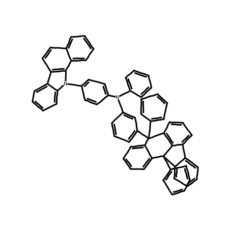 c1ccc(N(c2ccc(-n3c4ccccc4c4ccc5ccccc5c43)cc2)c2cccc(C3(c4ccccc4)c4ccccc4C4(c5ccccc5)c5ccccc5-c5cccc3c54)c2)cc1